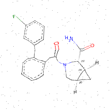 NC(=O)[C@@H]1[C@H]2C[C@H]2CN1C(=O)c1ccccc1-c1cccc(F)c1